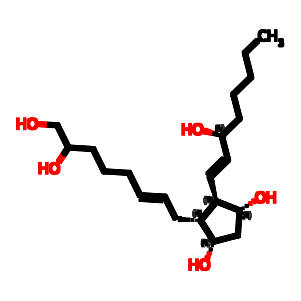 CCCCC[C@H](O)C=C[C@@H]1[C@@H](CC=CCCCC(O)CO)[C@@H](O)C[C@H]1O